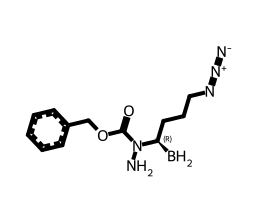 B[C@H](CCCN=[N+]=[N-])N(N)C(=O)OCc1ccccc1